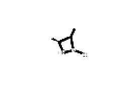 CCN1N[C@@H](C)C1C